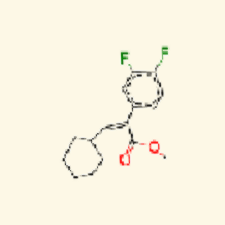 COC(=O)C(=CC1CCCCC1)c1ccc(F)c(F)c1